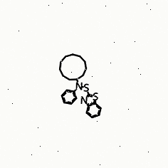 c1ccc(N(Sc2nc3ccccc3s2)C2CCCCCCCCCC2)cc1